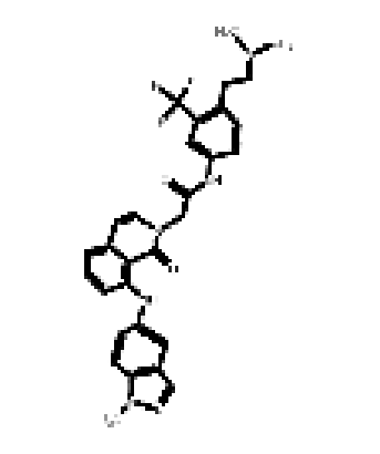 CN(C)CCc1ccc(NC(=O)Cn2ccc3cccc(Nc4ccc5c(cnn5C)c4)c3c2=O)cc1C(F)(F)F